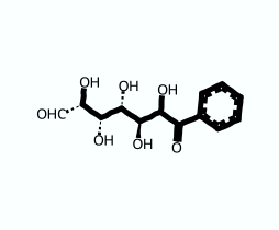 O=C[C@H](O)[C@@H](O)[C@H](O)[C@H](O)C(O)C(=O)c1ccccc1